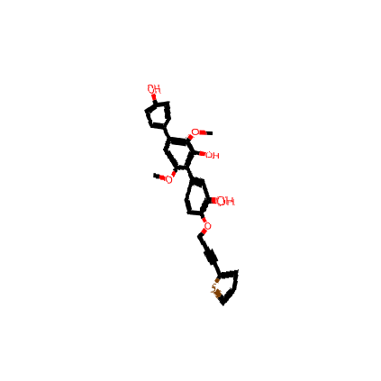 COc1cc(-c2ccc(O)cc2)c(OC)c(O)c1-c1ccc(OCC#Cc2cccs2)c(O)c1